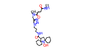 CCNC(=O)CCC(=O)N(C)Cc1cn(CCCNC(=O)C2CC3(CCCCC3)N(O)C23CCCCC3)nn1